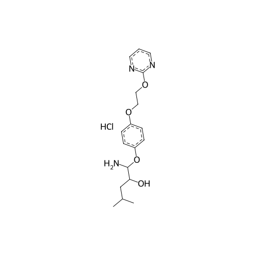 CC(C)CC(O)C(N)Oc1ccc(OCCOc2ncccn2)cc1.Cl